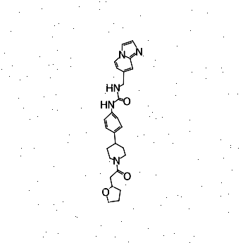 O=C(NCc1ccn2ccnc2c1)Nc1ccc(C2CCN(C(=O)CC3CCCO3)CC2)cc1